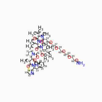 CC[C@H](C)[C@@H]([C@@H](CC(=O)N1CCC[C@H]1[C@H](OC)[C@@H](C)C(=O)N[C@@H](Cc1ccccc1)c1nccs1)OC)N(C)C(=O)[C@@H](NC(=O)[C@H](C(C)C)N(C)C(=O)CCOCCOCCOCCOCCON)C(C)C